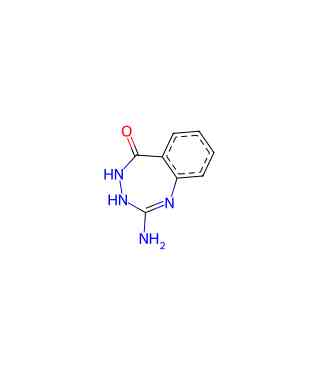 NC1=Nc2ccccc2C(=O)NN1